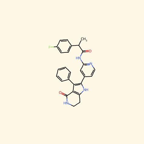 CC(C(=O)Nc1cc(-c2[nH]c3c(c2-c2ccccc2)C(=O)NCC3)ccn1)c1ccc(F)cc1